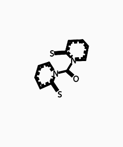 O=C(n1ccccc1=S)n1ccccc1=S